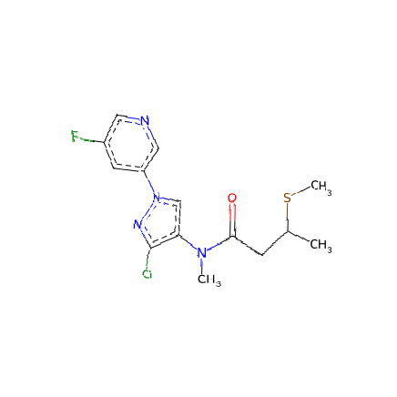 CSC(C)CC(=O)N(C)c1cn(-c2cncc(F)c2)nc1Cl